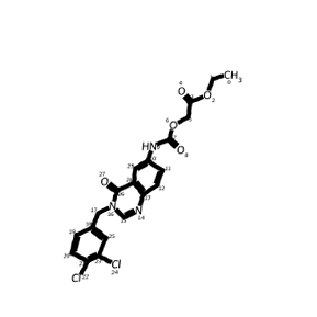 CCOC(=O)COC(=O)Nc1ccc2ncn(Cc3ccc(Cl)c(Cl)c3)c(=O)c2c1